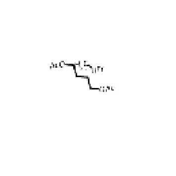 CC(=O)OCCCCOC(C)=O.[CH2]CC[CH2]